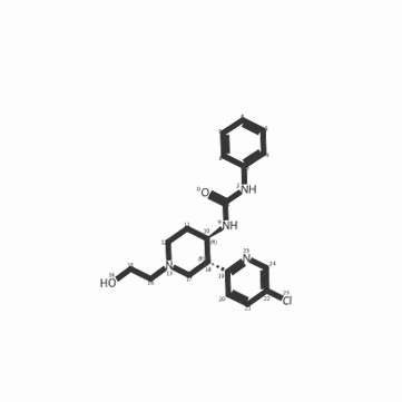 O=C(Nc1ccccc1)N[C@@H]1CCN(CCO)C[C@H]1c1ccc(Cl)cn1